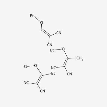 CCOC(C)=C(C#N)C#N.CCOC(CC)=C(C#N)C#N.CCOC=C(C#N)C#N